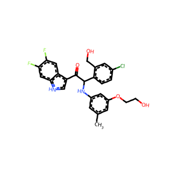 Cc1cc(NC(C(=O)c2c[nH]c3cc(F)c(F)cc23)c2ccc(Cl)cc2CO)cc(OCCO)c1